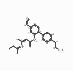 C=C(/C=C(C)\N=C(\C)CC)Oc1cc(C=N)ccc1-c1ccc(CCN)cc1